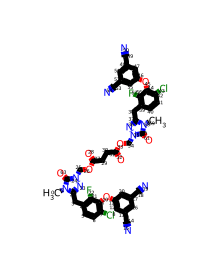 Cn1c(Cc2ccc(Cl)c(Oc3cc(C#N)cc(C#N)c3)c2F)nn(COC(=O)CCC(=O)OCn2nc(Cc3ccc(Cl)c(Oc4cc(C#N)cc(C#N)c4)c3F)n(C)c2=O)c1=O